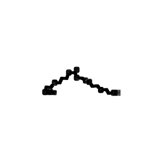 COCCOCCCOC(=O)OCCOCCOCCO